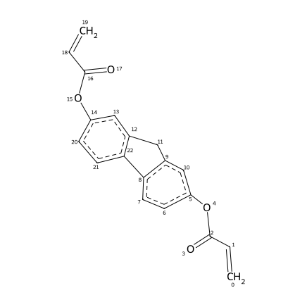 C=CC(=O)Oc1ccc2c(c1)Cc1cc(OC(=O)C=C)ccc1-2